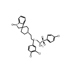 CN(C[C@@H](CCN1CCC2(CC1)C[S+]([O-])c1ccccc12)c1ccc(Cl)c(Cl)c1)S(=O)(=O)c1ccc(Cl)cc1